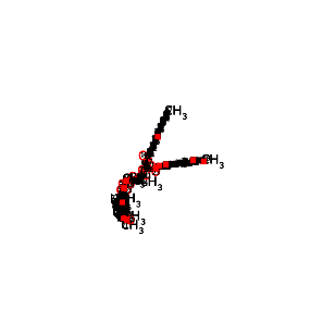 CCCCCCCCCCCCCCCC(=O)OCC(COC(=O)CCCCCCCCCCCCCCC)OC(=O)CC(C)CC(=O)OC(C)OC(=O)O[C@H]1CC[C@@]2(C)[C@@H](CC[C@@H]3[C@@H]2CC[C@]2(C)[C@@H](C(C)=O)CC[C@@H]32)C1